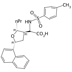 CCC[C@H]1O[C@@H](c2cccc3ccccc23)C[C@@H]1C(NS(=O)(=O)c1ccc(C)cc1)C(=O)O